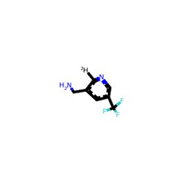 [2H]c1ncc(C(F)(F)F)cc1CN